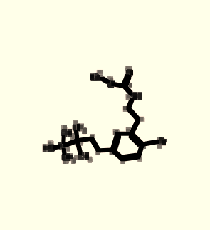 CC(C)c1ccc(CCC(C)(C)[Si](C)(C)O)cc1CCNC(=O)OC(C)(C)C